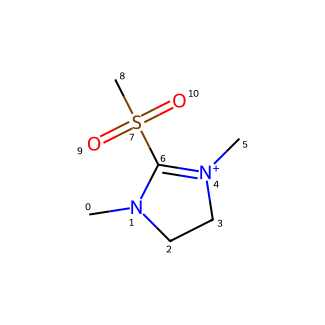 CN1CC[N+](C)=C1S(C)(=O)=O